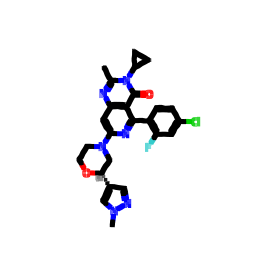 Cc1nc2cc(N3CCO[C@@H](c4cnn(C)c4)C3)nc(-c3ccc(Cl)cc3F)c2c(=O)n1C1CC1